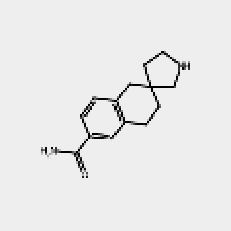 NC(=O)c1ccc2c(c1)CCC1(CCNC1)C2